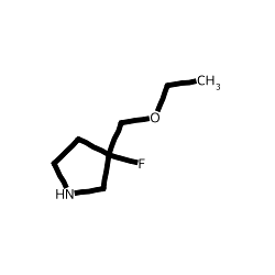 CCOCC1(F)CCNC1